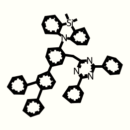 C[Si]1(C)c2ccccc2N(c2ccc(-c3ccc(-c4ccccc4)c(-c4ccccc4)c3)cc2Cc2nc(-c3ccccc3)nc(-c3ccccc3)n2)c2ccccc21